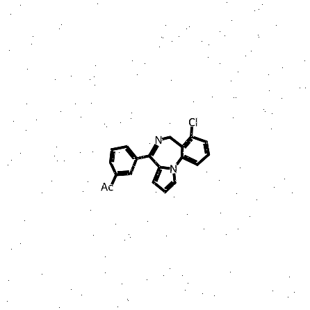 CC(=O)c1cccc(C2=NCc3c(Cl)cccc3-n3cccc32)c1